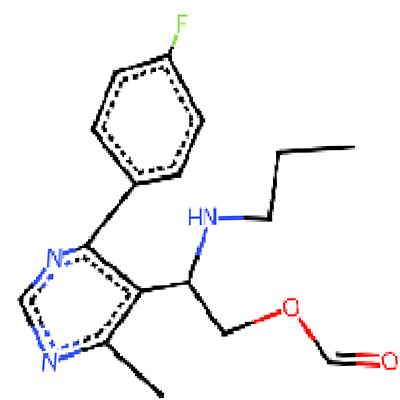 CCCNC(COC=O)c1c(C)ncnc1-c1ccc(F)cc1